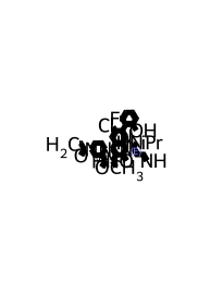 C=CC(=O)N1CCN2c3c(c(=O)n(/C(=C/C=N)NC(C)C)c4nc(-c5c(O)cccc5F)c(Cl)cc34)N(C)C(=O)[C@H]2C1